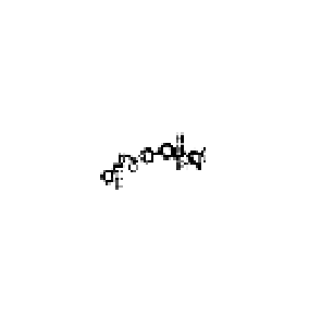 Cc1cc(-c2[nH]c3ccc(C4CCN(C(=O)CN(C)CCC5(O)CCCC5)CC4)cc3c2C(C)C)cc(C)n1